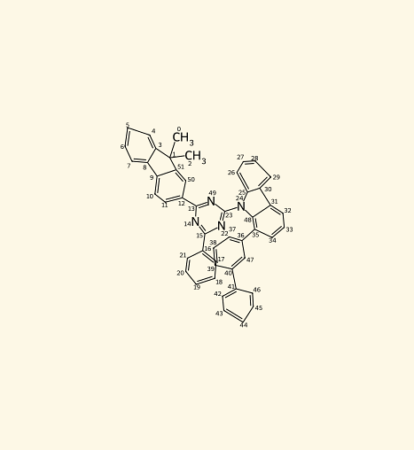 CC1(C)c2ccccc2-c2ccc(-c3nc(-c4ccccc4)nc(-n4c5ccccc5c5cccc(-c6cccc(-c7ccccc7)c6)c54)n3)cc21